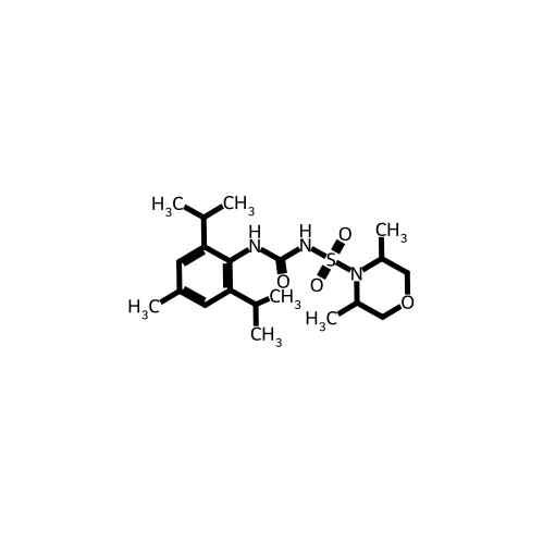 Cc1cc(C(C)C)c(NC(=O)NS(=O)(=O)N2C(C)COCC2C)c(C(C)C)c1